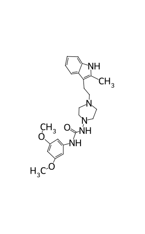 COc1cc(NC(=O)NN2CCN(CCc3c(C)[nH]c4ccccc34)CC2)cc(OC)c1